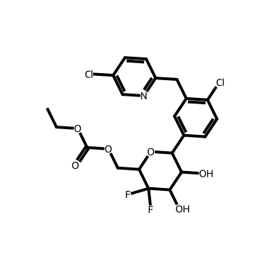 CCOC(=O)OCC1OC(c2ccc(Cl)c(Cc3ccc(Cl)cn3)c2)C(O)C(O)C1(F)F